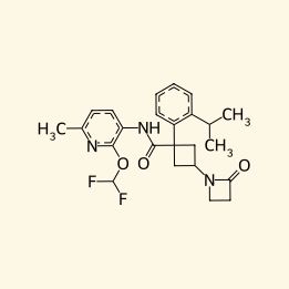 Cc1ccc(NC(=O)C2(c3ccccc3C(C)C)CC(N3CCC3=O)C2)c(OC(F)F)n1